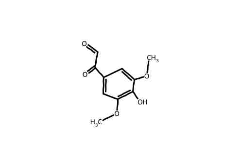 COc1cc(C(=O)C=O)cc(OC)c1O